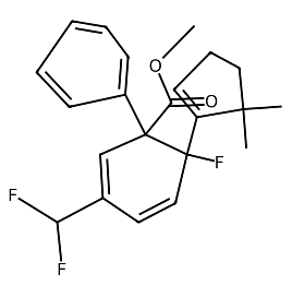 COC(=O)C1(c2ccccc2)C=C(C(F)F)C=CC1(F)C1=CCCC1(C)C